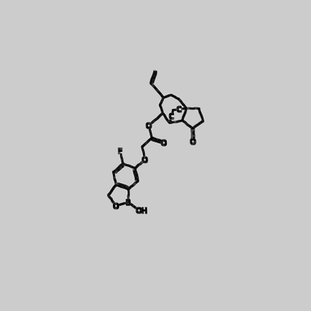 C=CC1CCC23CCCC(C(OC(=O)COc4cc5c(cc4F)COB5O)C1)C2C(=O)CC3